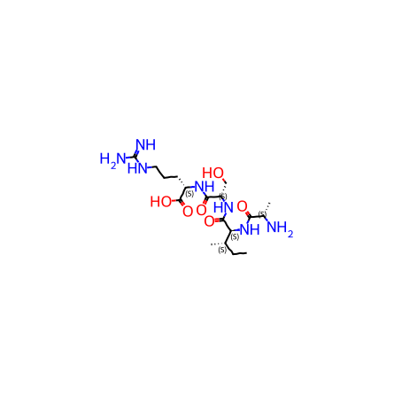 CC[C@H](C)[C@H](NC(=O)[C@H](C)N)C(=O)N[C@@H](CO)C(=O)N[C@@H](CCCNC(=N)N)C(=O)O